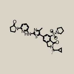 Cc1nc(Nc2cccc(N3CCCC3=O)n2)sc1-c1cc2c(c(S(=O)(=O)N3CCCC3)c1)C(=O)N([C@@H](C)C1CC1)C2